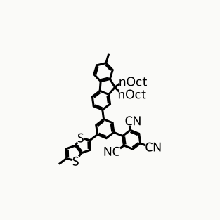 CCCCCCCCC1(CCCCCCCC)c2cc(C)ccc2-c2ccc(-c3cc(-c4cc5sc(C)cc5s4)cc(-c4c(C#N)cc(C#N)cc4C#N)c3)cc21